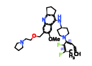 C#C/C=C(\C(F)=C(/C)F)N1CCC(Nc2c3c(nc4cc(COCCN5CCCC5)c(OC)cc24)CCC3)CC1